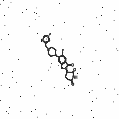 Cn1cnc(CN2CCC(c3cc4c(cc3F)C(=O)N(C3CCC(=O)NC3=O)C4)CC2)c1